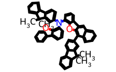 CC1(C)c2ccccc2-c2ccc(-c3c4ccccc4cc4c3oc3c(N(c5ccc6c(c5)C(C)(C)c5ccccc5-6)c5cccc6c5oc5ccccc56)cccc34)cc21